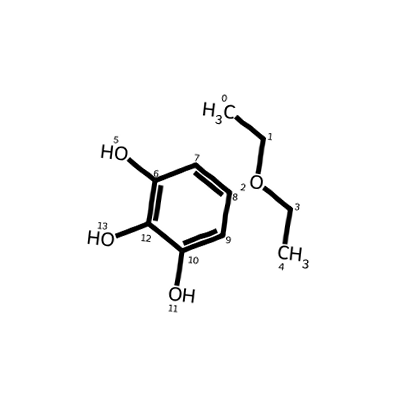 CCOCC.Oc1cccc(O)c1O